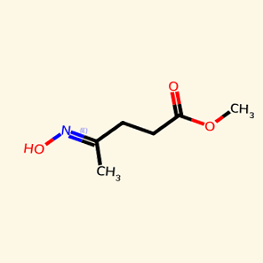 COC(=O)CC/C(C)=N/O